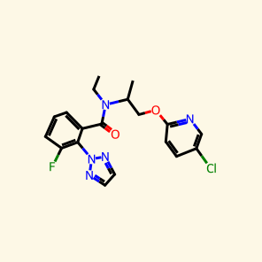 CCN(C(=O)c1cccc(F)c1-n1nccn1)C(C)COc1ccc(Cl)cn1